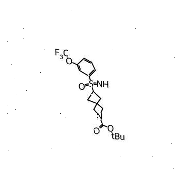 CC(C)(C)OC(=O)N1CC2(CC(S(=N)(=O)c3cccc(OC(F)(F)F)c3)C2)C1